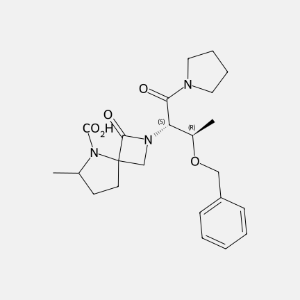 CC1CCC2(CN([C@H](C(=O)N3CCCC3)[C@@H](C)OCc3ccccc3)C2=O)N1C(=O)O